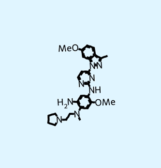 COc1ccc2c(C)nn(-c3ccnc(Nc4cc(N)c(N(C)CCN5CCCC5)cc4OC)n3)c2c1